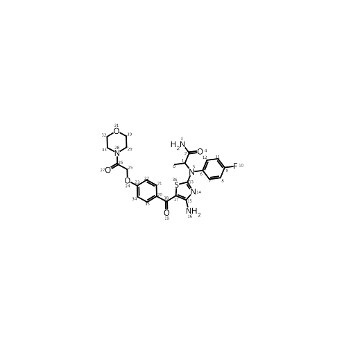 CC(C(N)=O)N(c1ccc(F)cc1)c1nc(N)c(C(=O)c2ccc(OCC(=O)N3CCOCC3)cc2)s1